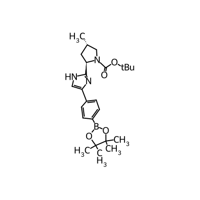 C[C@H]1C[C@H](c2nc(-c3ccc(B4OC(C)(C)C(C)(C)O4)cc3)c[nH]2)N(C(=O)OC(C)(C)C)C1